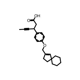 CC#CC(CC(=O)O)c1ccc(OCC2=CC3(CCCCC3)CC2)cc1